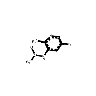 Cc1ncc(Br)cc1N[S+](C)[O-]